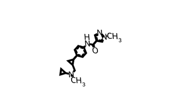 CN(CC1CC1c1ccc(NC(=O)c2cnn(C)c2)cc1)C1CC1